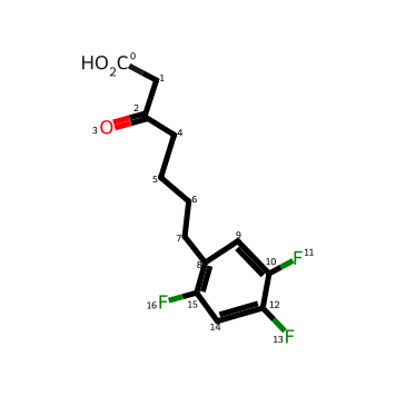 O=C(O)CC(=O)CCCCc1cc(F)c(F)cc1F